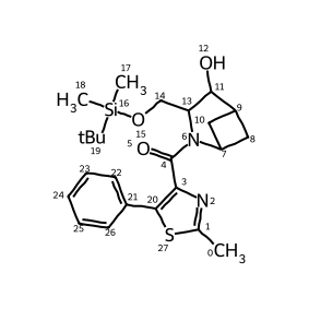 Cc1nc(C(=O)N2C3CC(C3)C(O)C2CO[Si](C)(C)C(C)(C)C)c(-c2ccccc2)s1